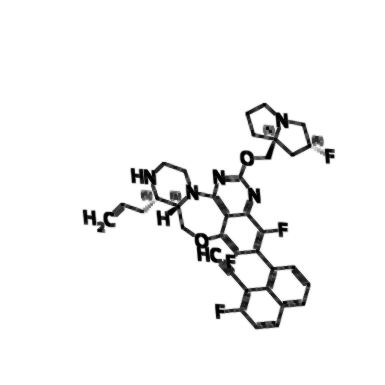 C#Cc1c(F)ccc2cccc(-c3c(F)c4c5c(nc(OC[C@@]67CCCN6C[C@H](F)C7)nc5c3F)N3CCN[C@@H](CC=C)[C@H]3CO4)c12